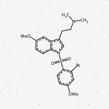 COc1ccc(S(=O)(=O)n2cc(CCN(C)C)c3cc(OC)ccc32)c(Br)c1